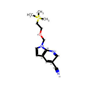 CS(C)(C)CCOCn1ccc2cc(C#N)cnc21